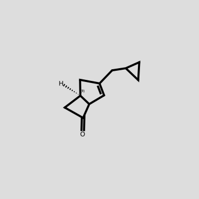 O=C1C[C@H]2CC(CC3CC3)=CC12